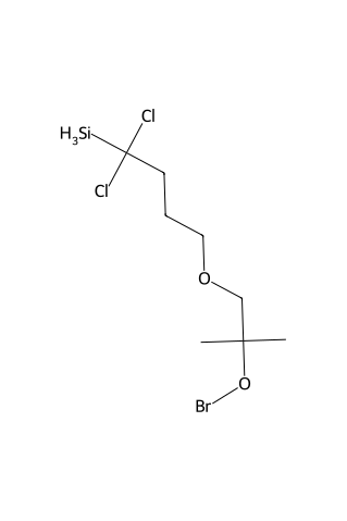 CC(C)(COCCCC([SiH3])(Cl)Cl)OBr